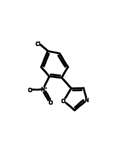 O=[N+]([O-])c1cc(Cl)ccc1-c1cnco1